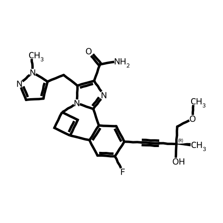 COC[C@](C)(O)C#Cc1cc2c(cc1F)C1=CC(C1)n1c-2nc(C(N)=O)c1Cc1ccnn1C